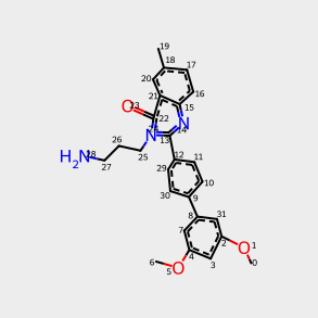 COc1cc(OC)cc(-c2ccc(-c3nc4ccc(C)cc4c(=O)n3CCCN)cc2)c1